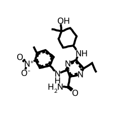 CCc1nc(C(N)=O)c(Nc2ccc(C)c([N+](=O)[O-])c2)nc1NC1CCC(C)(O)CC1